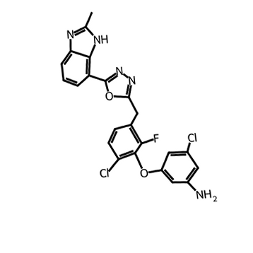 Cc1nc2cccc(-c3nnc(Cc4ccc(Cl)c(Oc5cc(N)cc(Cl)c5)c4F)o3)c2[nH]1